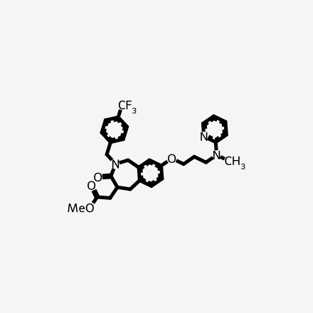 COC(=O)CC1Cc2ccc(OCCCN(C)c3ccccn3)cc2CN(Cc2ccc(C(F)(F)F)cc2)C1=O